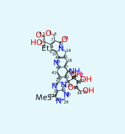 CCC1(O)C(=O)OCc2c1cc1n(c2=O)Cc2cc3c(N)c(C4(n5cnc6c(SC)ncnc65)O[C@H](CO)[C@@H](O)[C@H]4O)ccc3nc2-1